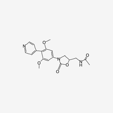 COc1cc(N2CC(CNC(C)=O)OC2=O)cc(OC)c1-c1ccncc1